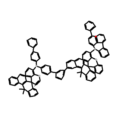 CC1(C)c2ccccc2C2(c3ccccc3Oc3c(N(c4ccc(-c5ccccc5)cc4)c4ccc(-c5cccc(-c6ccc7ccc8c(c7c6)C(C)(C)c6ccccc6C86c7ccccc7Oc7c(N(c8ccc(-c9ccccc9)cc8)c8ccccc8-c8ccccc8)cccc76)c5)cc4)cccc32)c2ccc3ccccc3c21